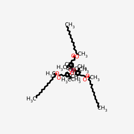 CCCCCCCCCCCCCCCCC(C)OC(=O)CCc1ccc(OP(Oc2ccc(CCC(=O)OC(C)CCCCCCCCCCCCCCCC)cc2C(C)(C)C)Oc2ccc(CCC(=O)OC(C)CCCCCCCCCCCCCCCC)cc2C(C)(C)C)c(C(C)(C)C)c1